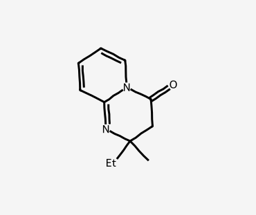 CCC1(C)CC(=O)N2C=CC=CC2=N1